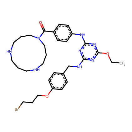 O=C(c1ccc(Nc2nc(NCc3ccc(OCCCBr)cc3)nc(OCC(F)(F)F)n2)cc1)N1CCCNCCCNCCC1